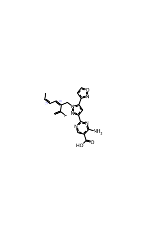 C=C(F)/C(=C\C=C/C)Cn1nc(-c2ncc(C(=O)O)c(N)n2)cc1-c1ccon1